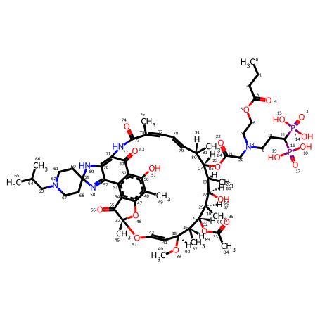 CCCC(=O)OCCN(CCC(P(=O)(O)O)P(=O)(O)O)CC(=O)O[C@@H]1[C@@H](C)[C@@H](O)[C@@H](C)[C@H](OC(C)=O)[C@H](C)[C@@H](OC)/C=C/O[C@@]2(C)Oc3c(C)c(O)c4c(c3C2=O)C2=NC3(CCN(CC(C)C)CC3)NC2=C(NC(=O)/C(C)=C\C=C\[C@@H]1C)C4=O